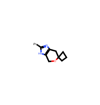 CC(C)c1nc2c([nH]1)COC1(CCC1)C2